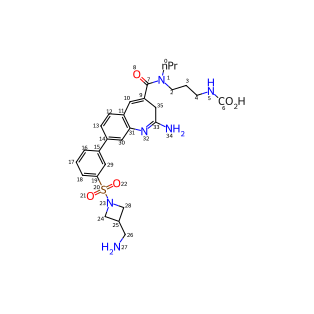 CCCN(CCCNC(=O)O)C(=O)C1=Cc2ccc(-c3cccc(S(=O)(=O)N4CC(CN)C4)c3)cc2N=C(N)C1